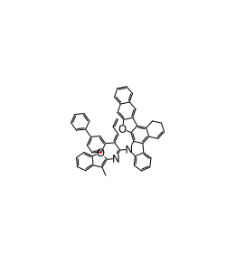 C=C/C=C(/C(=N\c1oc2ccccc2c1C)n1c2ccccc2c2c3c(c4c5cc6ccccc6cc5oc4c21)CCC=C3)c1cccc(-c2ccccc2)c1